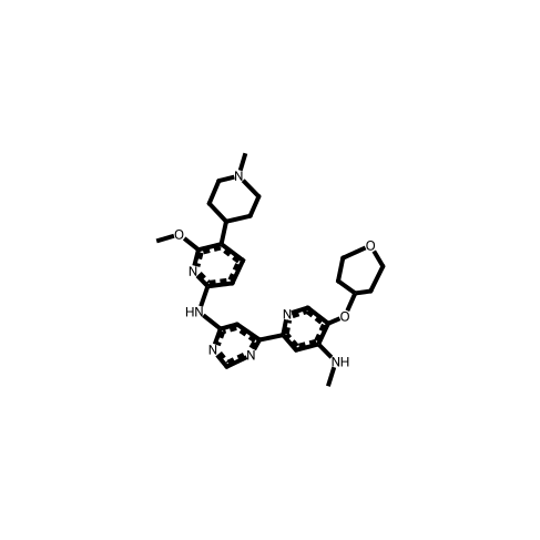 CNc1cc(-c2cc(Nc3ccc(C4CCN(C)CC4)c(OC)n3)ncn2)ncc1OC1CCOCC1